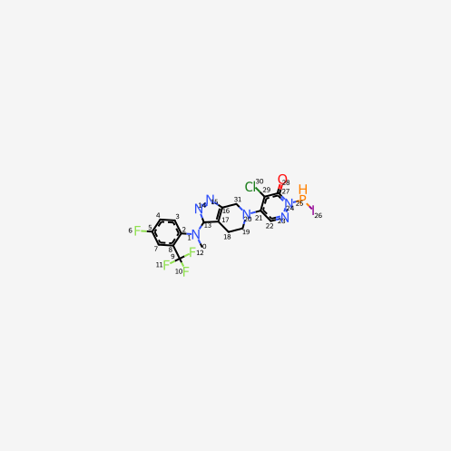 CN(c1ccc(F)cc1C(F)(F)F)C1N=NC2=C1CCN(c1cnn(PI)c(=O)c1Cl)C2